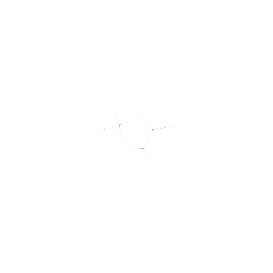 CC1=CC(C)(C)SC1C